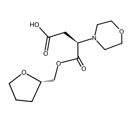 O=C(O)C[C@H](C(=O)OC[C@@H]1CCCO1)N1CCOCC1